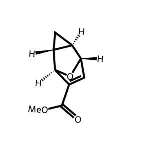 COC(=O)C1=C[C@@H]2O[C@@H]1[C@@H]1C[C@H]12